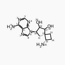 Nc1ncnc2c1ncn2[C@@H]1C[C@@]2(CC[C@@H]2N)C(O)C1O